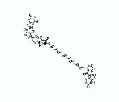 O=C1CCC(N2C(=O)c3cccc(C#CCOCCOCCOCCOCCOCCNC(=O)c4cc5cc(N6CC[C@H](C(=O)NCc7cc(F)cc(F)c7)C6=O)ccc5[nH]4)c3C2=O)C(=O)N1